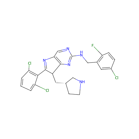 Fc1ccc(Cl)cc1CNc1ncc2c(n1)C(C[C@H]1CCNC1)C(c1c(Cl)cccc1Cl)=N2